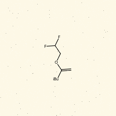 C=C(OCC(F)F)C(C)CC